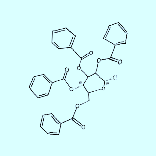 O=C(OCC1O[C@@H](Cl)C(OC(=O)c2ccccc2)C(OC(=O)c2ccccc2)[C@H]1OC(=O)c1ccccc1)c1ccccc1